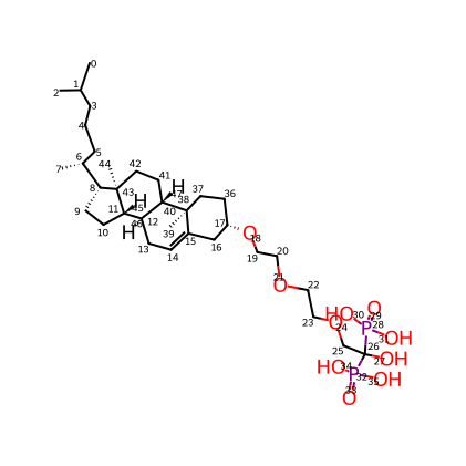 CC(C)CCC[C@@H](C)[C@H]1CC[C@H]2[C@@H]3CC=C4C[C@@H](OCCOCCOCC(O)(P(=O)(O)O)P(=O)(O)O)CC[C@]4(C)[C@H]3CC[C@]12C